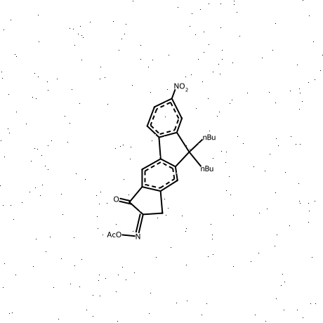 CCCCC1(CCCC)c2cc([N+](=O)[O-])ccc2-c2cc3c(cc21)C/C(=N/OC(C)=O)C3=O